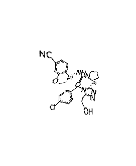 N#Cc1ccc2c(c1)OCC[C@H]2NC(=O)N1CCC[C@@H]1c1nnc(CO)n1Cc1ccc(Cl)cc1